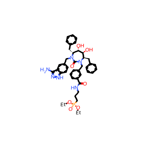 CCOP(=O)(CCCNC(=O)c1cccc(CN2C(=O)N(Cc3ccc4[nH]nc(N)c4c3)[C@H](Cc3ccccc3)[C@H](O)[C@@H](O)[C@H]2Cc2ccccc2)c1)OCC